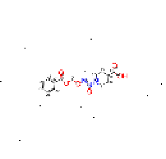 O=C(OCO/N=[N+](\[O-])N1CCC(C(=O)O)CC1)c1ccccc1